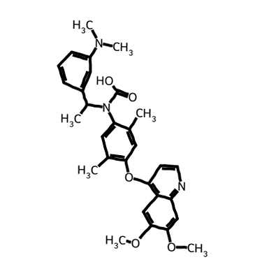 COc1cc2nccc(Oc3cc(C)c(N(C(=O)O)C(C)c4cccc(N(C)C)c4)cc3C)c2cc1OC